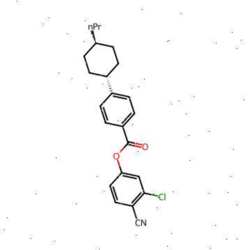 CCC[C@H]1CC[C@H](c2ccc(C(=O)Oc3ccc(C#N)c(Cl)c3)cc2)CC1